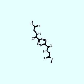 COC(=O)CNC(=O)c1nnc(C(=O)NCC(=O)OC)nn1